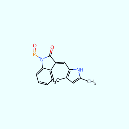 Cc1cc(C)c(C=C2C(=O)N(P=O)c3ccccc32)[nH]1